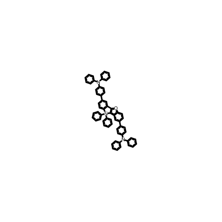 c1ccc(N(c2ccccc2)c2ccc(-c3ccc4c(c3)-c3oc5ccc(-c6ccc(N(c7ccccc7)c7ccccc7)cc6)cc5c3[Si]4(c3ccccc3)c3ccccc3)cc2)cc1